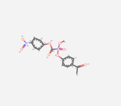 COP(=O)(Oc1ccc(C(C)=O)cc1)C(=O)Oc1ccc([N+](=O)[O-])cc1